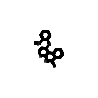 Nc1ccccc1Oc1ccnc2[nH]c(=O)c3ccccc3c12